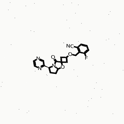 N#Cc1cccc(F)c1COC1CC2(C1)OC1CC[C@@H](c3cnccn3)N1C2=O